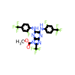 COC(=O)n1c(C(F)(F)F)nc2nc(Nc3ccc(C(F)(F)F)cc3F)c(Nc3ccc(C(F)(F)F)cc3F)nc21